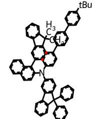 CC(C)(C)c1ccc(-c2ccc(-c3ccc(N(c4ccc5c(c4)-c4ccccc4C5(c4ccccc4)c4ccccc4)c4ccc5ccccc5c4-c4ccc5c(c4)-c4ccccc4C5(C)C)cc3)cc2)cc1